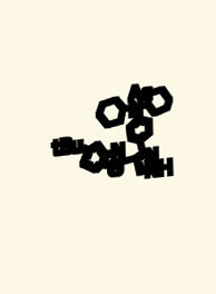 CC(=O)[N+](c1ccc(-c2n[nH]cc2-c2nc3cc(C(C)(C)C)ccc3o2)cc1)(C1CCCCC1)C1CCCCC1